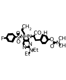 C=CCN(c1cnc(N(CC)CC)nc1NC(Cc1ccc(OC(=O)N(C)C)cc1)C(=O)O)S(=O)(=O)c1ccc(F)cc1